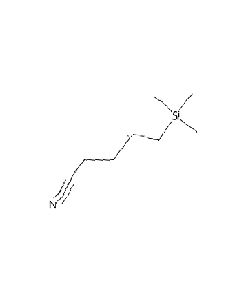 C[Si](C)(C)C[CH]CCC#N